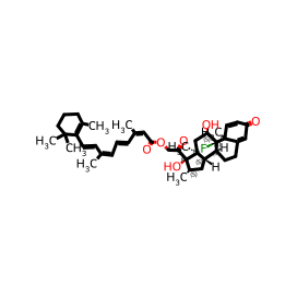 CC(C=CC1=C(C)CCCC1(C)C)=CC=CC(C)=CC(=O)OCC(=O)[C@@]1(O)[C@@H](C)C[C@H]2[C@@H]3CCC4=CC(=O)C=C[C@]4(C)[C@@]3(F)[C@@H](O)C[C@@]21C